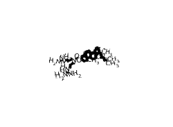 CC(C)CCCC(C)C1CCC2C3CC=C4CC(OC(=O)N(CCCNC(N)N)CCCNC(N)N)CCC4(C)C3CCC12C